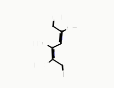 CC/C(C)=C\C(C)=C(\C)CI